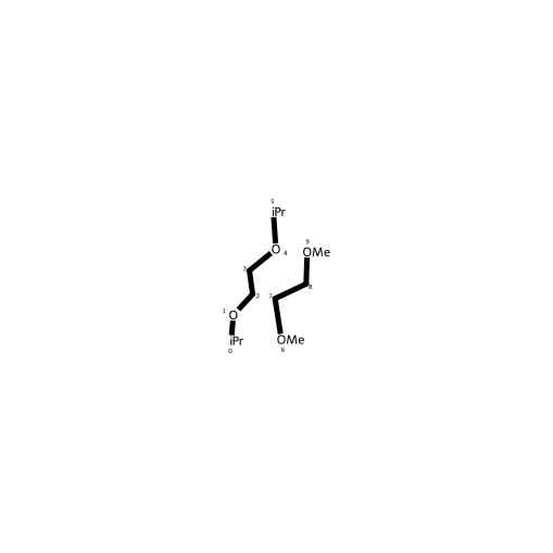 CC(C)OCCOC(C)C.COCCOC